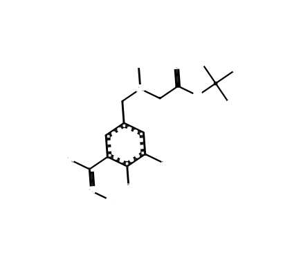 CN(CC(=O)OC(C)(C)C)Cc1cc(F)c(F)c(/C(N)=N\O)c1